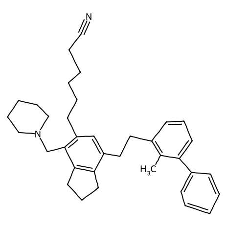 Cc1c(CCc2cc(CCCCCC#N)c(CN3CCCCC3)c3c2CCC3)cccc1-c1ccccc1